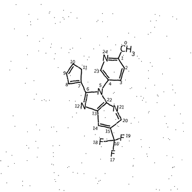 Cc1ccc(-n2c(C3=CC=CC3)nc3cc(C(F)(F)F)cnc32)cn1